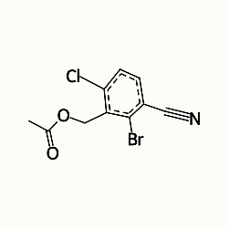 CC(=O)OCc1c(Cl)ccc(C#N)c1Br